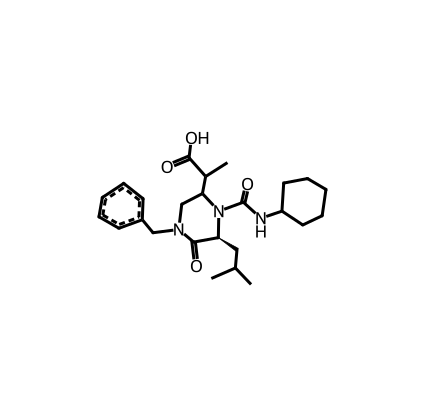 CC(C)C[C@H]1C(=O)N(Cc2ccccc2)CC(C(C)C(=O)O)N1C(=O)NC1CCCCC1